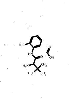 Cc1ccccc1NC(=O)C(N)C(C)(C)C.O=CO